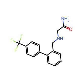 NC(=O)CNCc1ccccc1-c1ccc(C(F)(F)F)cc1